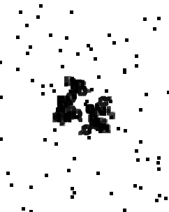 CCN(CC)CC(c1ccc(C)cc1)N1CCN(C(=O)C(Cc2ccc(C)cc2)C(C(N)=O)C2NCc3ccccc32)CC1.CCN(CC)CC(c1ccc(C)cc1)N1CCN(C(=O)C(N)Cc2ccc(C)cc2)CC1